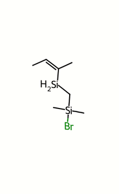 CC=C(C)[SiH2]C[Si](C)(C)Br